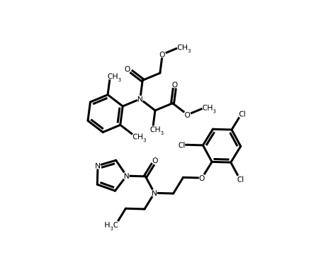 CCCN(CCOc1c(Cl)cc(Cl)cc1Cl)C(=O)n1ccnc1.COCC(=O)N(c1c(C)cccc1C)C(C)C(=O)OC